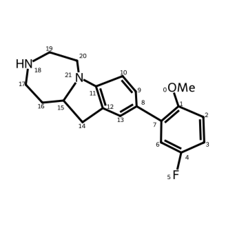 COc1ccc(F)cc1-c1ccc2c(c1)CC1CCNCCN21